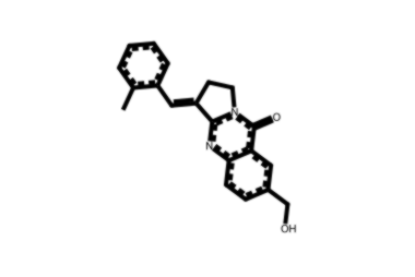 Cc1ccccc1/C=C1\CCn2c1nc1ccc(CO)cc1c2=O